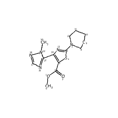 COC(=O)c1sc(N2CCCCC2)nc1-c1ncnn1C